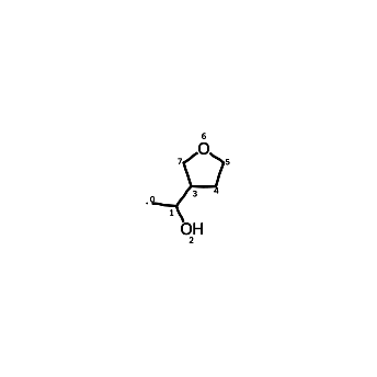 [CH2]C(O)C1CCOC1